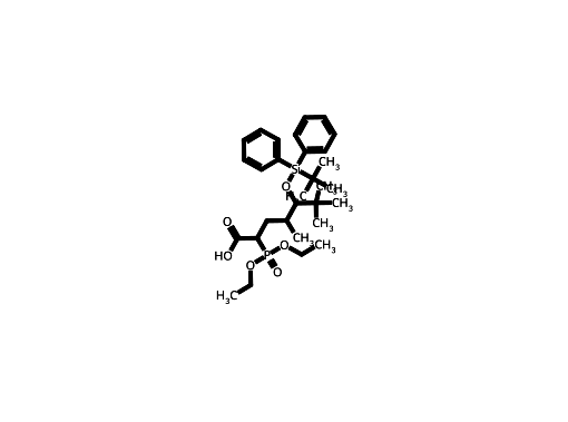 CCOP(=O)(OCC)C(CC(C)C(O[Si](c1ccccc1)(c1ccccc1)C(C)(C)C)C(C)(C)C)C(=O)O